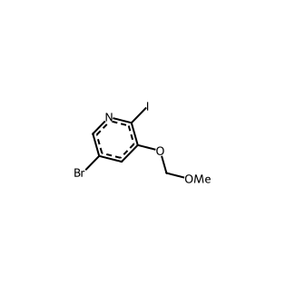 COCOc1cc(Br)cnc1I